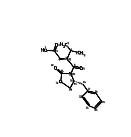 CC(C)[C@H](CC(=O)O)C(=O)N1C(=O)OC[C@H]1Cc1ccccc1